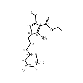 CCOC(=O)c1c(CC)nn(CCCN2C[C@@H](C)O[C@@H](C)C2)c1N